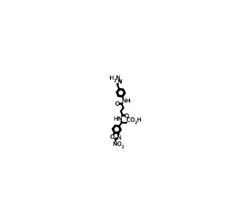 NN=Cc1ccc(NC(=O)CCC(=O)NC(CC(=O)O)c2ccc3oc([N+](=O)[O-])nc3c2)cc1